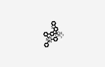 CC1(C)c2ccc(-c3ccccc3-c3nc(-c4ccccc4)nc(-c4ccccc4)n3)cc2-c2c1ccc1c2sc2ccccc21